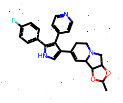 CC1OC2CN3CCC(c4c[nH]c(-c5ccc(F)cc5)c4-c4ccncc4)=CC3C2O1